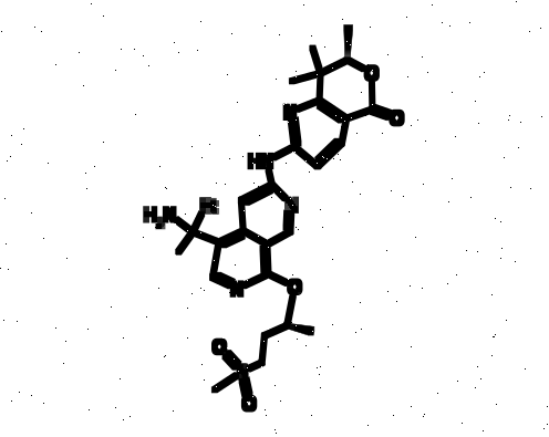 CCC(C)(N)c1cnc(O[C@@H](C)CCS(C)(=O)=O)c2cnc(Nc3ccc4c(n3)C(C)(C)[C@@H](C)OC4=O)cc12